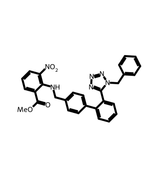 COC(=O)c1cccc([N+](=O)[O-])c1NCc1ccc(-c2ccccc2-c2nnnn2Cc2ccccc2)cc1